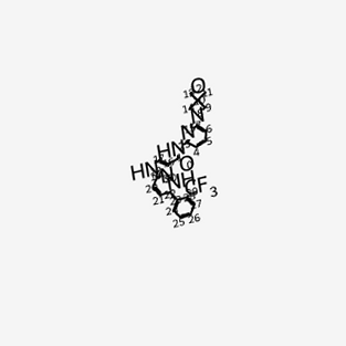 O=C(Nc1cccc(N2CC3(COC3)C2)n1)C1=CNC2C=CC(c3ccccc3C(F)(F)F)NN12